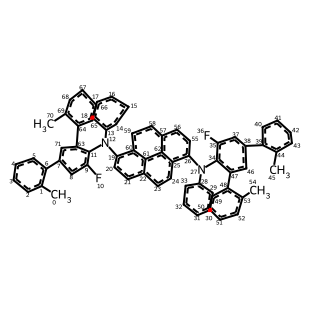 Cc1ccccc1-c1cc(F)c(N(c2ccccc2)c2ccc3ccc4c(N(c5ccccc5)c5c(F)cc(-c6ccccc6C)cc5-c5ccccc5C)ccc5ccc2c3c54)c(-c2ccccc2C)c1